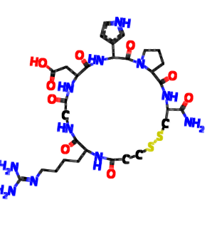 NC(=O)C1CSSCCC(=O)NC(CCCCN=C(N)N)C(=O)NCC(=O)NC(CC(=O)O)C(=O)NC(c2cc[nH]c2)C(=O)N2CCCC2C(=O)N1